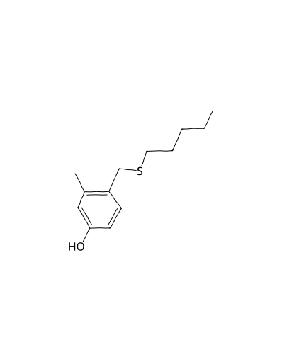 CCCCCSCc1ccc(O)cc1C